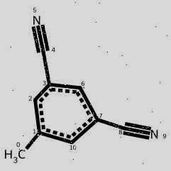 Cc1cc(C#N)[c]c(C#N)c1